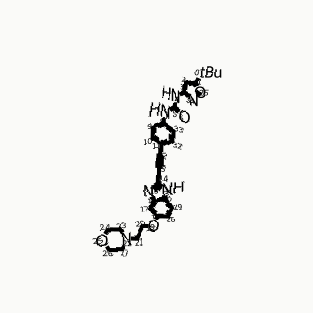 CC(C)(C)c1cc(NC(=O)Nc2ccc(C#Cc3nc4cc(OCCN5CCOCC5)ccc4[nH]3)cc2)no1